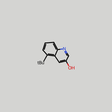 CC(C)(C)c1cccc2ncc(O)cc12